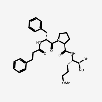 COCCC[C@H](NC(=O)[C@@H]1CCCN1C(=O)[C@@H](Cc1ccccc1)NC(=O)CCc1ccccc1)B(O)N=O